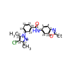 CCc1nc2ccc(NC(=O)c3cccc(-n4nc(C)c(Cl)c4C)c3)cc2o1